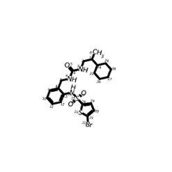 CC(CNC(=O)NCc1ccccc1NS(=O)(=O)c1ccc(Br)s1)C1CCCCC1